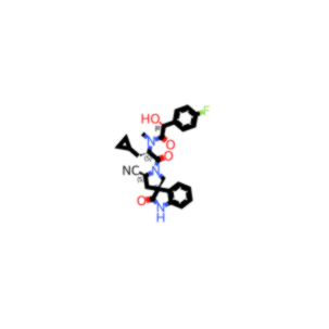 CN(C(=O)[C@H](O)c1ccc(F)cc1)[C@@H](CC1CC1)C(=O)N1C[C@]2(C[C@H]1C#N)C(=O)Nc1ccccc12